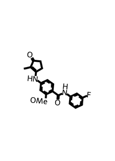 COc1cc(NC2=C(C)C(=O)CC2)ccc1C(=O)Nc1cccc(F)c1